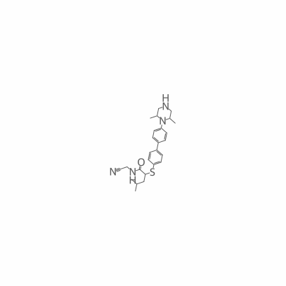 CC(C)CC(Sc1ccc(-c2ccc(N3C(C)CNCC3C)cc2)cc1)C(=O)NCC#N